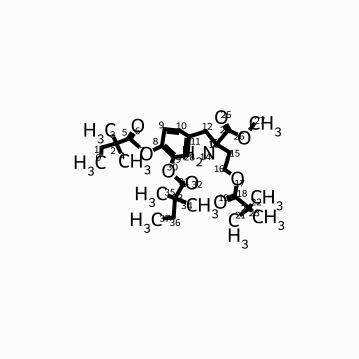 CCC(C)(C)C(=O)Oc1ccc(C[C@](N)(CCOC(=O)C(C)(C)C)C(=O)OC)cc1OC(=O)C(C)(C)CC